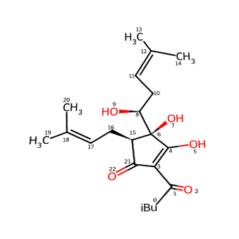 CCC(C)C(=O)C1=C(O)[C@@](O)([C@@H](O)CC=C(C)C)[C@H](CC=C(C)C)C1=O